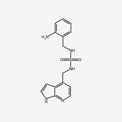 Nc1ccccc1CNS(=O)(=O)NCc1ccnc2[nH]ccc12